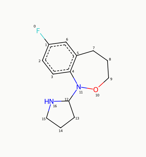 Fc1ccc2c(c1)CCCON2C1CCCN1